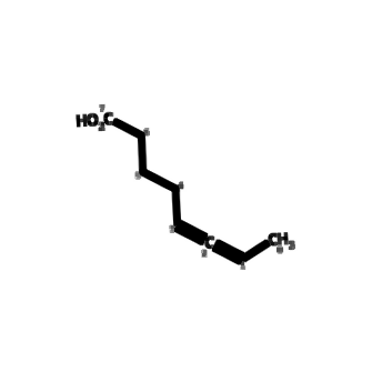 CC=C=CCCCC(=O)O